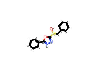 [O-][S+](Cc1ccccc1)c1nnc(-c2ccccc2)o1